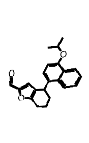 CC(C)Oc1ccc(C2CCCc3oc(C=O)cc32)c2ccccc12